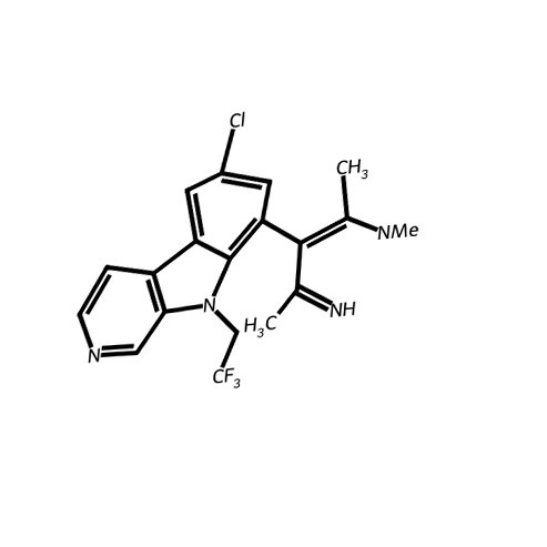 CN/C(C)=C(\C(C)=N)c1cc(Cl)cc2c3ccncc3n(CC(F)(F)F)c12